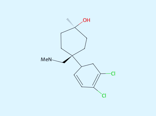 CNC[C@]1(C2C=CC(Cl)=C(Cl)C2)CC[C@](C)(O)CC1